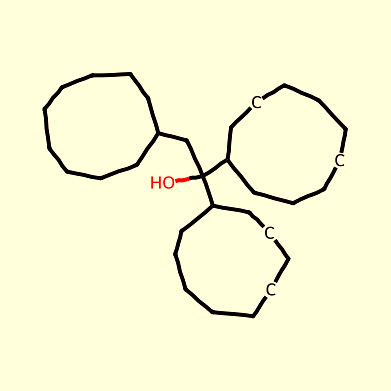 OC(CC1CCCCCCCCC1)(C1CCCCCCCCC1)C1CCCCCCCCC1